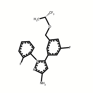 C[C@@H](OCc1cc(F)cc(-c2cc(N)nn2-c2ccccc2F)c1)C(F)(F)F